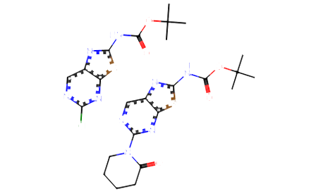 CC(C)(C)OC(=O)Nc1nc2cnc(Cl)nc2s1.CC(C)(C)OC(=O)Nc1nc2cnc(N3CCCCC3=O)nc2s1